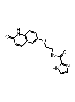 O=C(NCCOc1ccc2[nH]c(=O)ccc2c1)c1ncc[nH]1